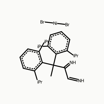 CC(C)c1cccc(C(C)C)c1C(C)(C(=N)C=N)c1c(C(C)C)cccc1C(C)C.[Br][Ni][Br]